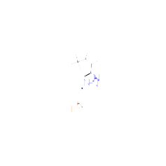 CC(c1cn(C(C)(C)C[C@@H]2CP2)nn1)C(C)C(C)(C)C